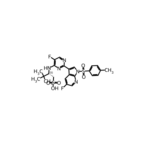 Cc1ccc(S(=O)(=O)n2cc(-c3ncc(F)c(N[C@H](CS(=O)(=O)O)C(C)(C)C)n3)c3cc(F)cnc32)cc1